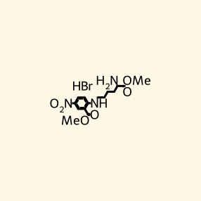 Br.COC(=O)c1cc([N+](=O)[O-])ccc1NCCCCC(N)C(=O)OC